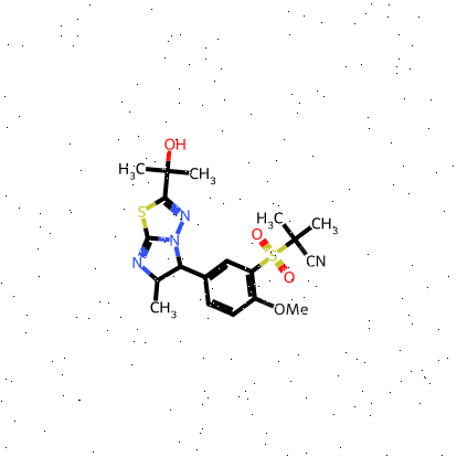 COc1ccc(C2C(C)N=C3SC(C(C)(C)O)=NN32)cc1S(=O)(=O)C(C)(C)C#N